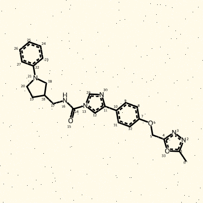 Cc1nnc(COc2ccc(-c3cn(C(=O)NCC4CCN(c5ccccc5)C4)cn3)cc2)o1